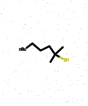 CCCCCCCC(C)(C)S